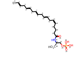 CCC=CCC=CCC=CCC=CC/C=C\CCCC(=O)N[C@@H](COP(=O)(O)O)C(=O)O